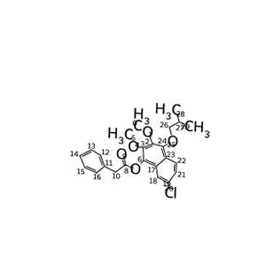 COc1c(OC)c(OC(=O)Cc2ccccc2)c2cc(Cl)ccc2c1OCC(C)C